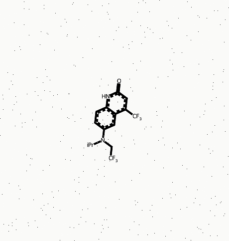 CC(C)N(CC(F)(F)F)c1ccc2[nH]c(=O)cc(C(F)(F)F)c2c1